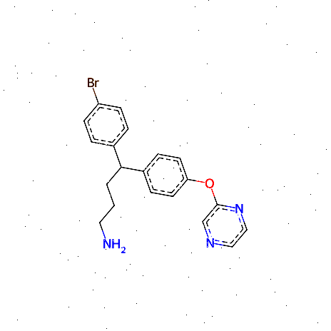 NCCCC(c1ccc(Br)cc1)c1ccc(Oc2cnccn2)cc1